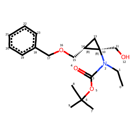 CCN(C(=O)OC(C)(C)C)[C@]1(CO)C[C@H]1COCc1ccccc1